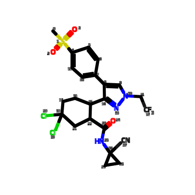 CS(=O)(=O)c1ccc(-c2cn(CC(F)(F)F)nc2C2CCC(Cl)(Cl)CC2C(=O)NC2(C#N)CC2)cc1